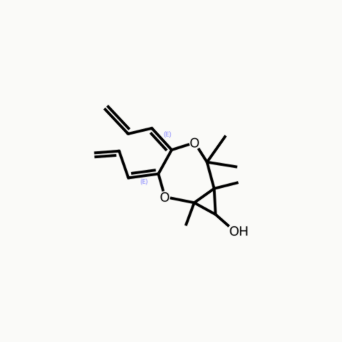 C=C/C=C1/OC(C)(C)C2(C)C(O)C2(C)O/C1=C/C=C